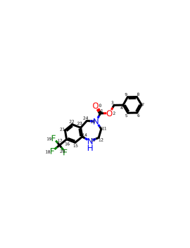 O=C(OCc1ccccc1)N1CCNc2cc(C(F)(F)F)ccc2C1